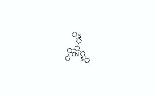 N#Cc1c(-c2ccccc2)cccc1-c1cc(-c2ccc3c(c2)sc2ccccc23)cc(-c2ccc3sc4ccccc4c3c2)c1